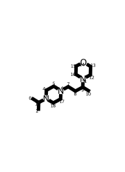 CC(C)N1CCN(CCC(C)N2CCOCC2)CC1